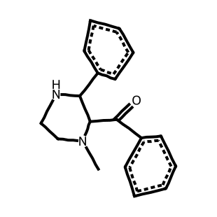 CN1CCNC(c2ccccc2)C1C(=O)c1ccccc1